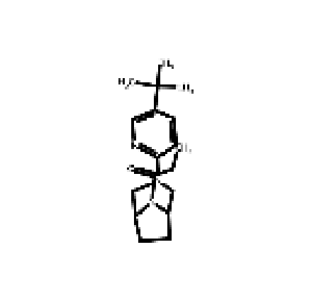 CCC(=O)N1C2CCC1CN(c1ccc(C(C)(C)C)cn1)C2